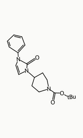 CC(C)(C)OC(=O)N1CCC(n2ccn(-c3ccccc3)c2=O)CC1